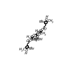 Cc1cc(CCC(=O)OCC(C)(C)C2OCC3(CO2)COC(C(C)(C)COC(=O)CCc2cc(C)c(O)c(C(C)(C)C)c2)OC3OP(O)O)cc(C(C)(C)C)c1O